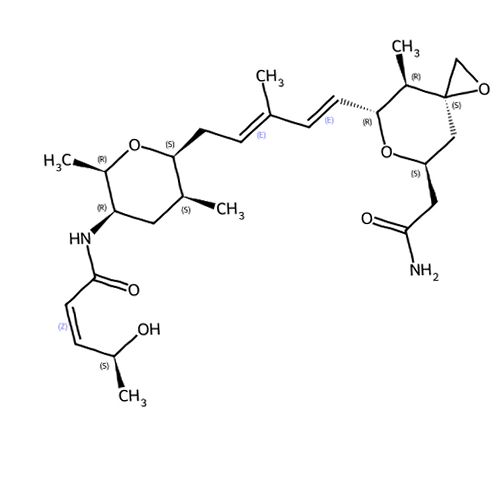 CC(/C=C/[C@H]1O[C@H](CC(N)=O)C[C@@]2(CO2)[C@@H]1C)=C\C[C@@H]1O[C@H](C)[C@H](NC(=O)/C=C\[C@H](C)O)C[C@@H]1C